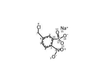 O=[N+]([O-])c1ccc(CCl)cc1S(=O)(=O)[O-].[Na+]